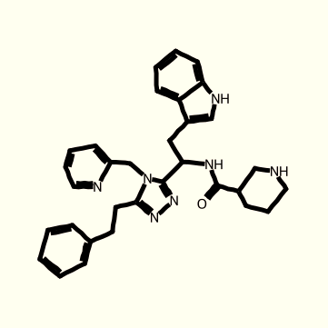 O=C(NC(Cc1c[nH]c2ccccc12)c1nnc(CCc2ccccc2)n1Cc1ccccn1)C1CCCNC1